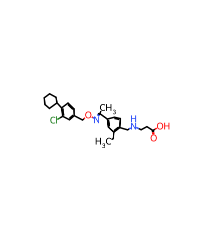 CCc1cc(C(C)=NOCc2ccc(C3CCCCC3)c(Cl)c2)ccc1CNCCC(=O)O